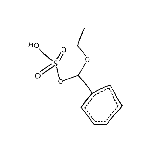 CCOC(OS(=O)(=O)O)c1ccccc1